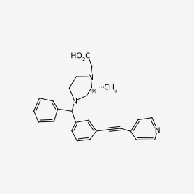 C[C@@H]1CN(C(c2ccccc2)c2cccc(C#Cc3ccncc3)c2)CCN1CC(=O)O